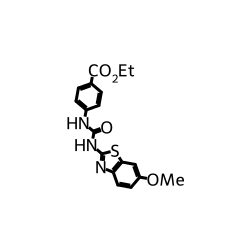 CCOC(=O)c1ccc(NC(=O)Nc2nc3ccc(OC)cc3s2)cc1